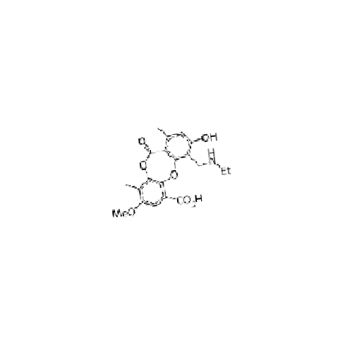 CCNCc1c(O)cc(C)c2c1Oc1c(C(=O)O)cc(OC)c(C)c1OC2=O